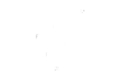 O=Cc1cccc(Br)c1C(F)(F)F